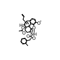 C=CCN1CC[C@]23c4c5ccc(OC)c4O[C@H]2[C@H](NS(=O)(=O)Cc2ccccc2C)CC[C@@]3(OC(C)=O)[C@H]1C5